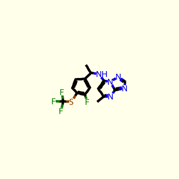 Cc1cc(NC(C)c2ccc(SC(F)(F)F)c(F)c2)n2ncnc2n1